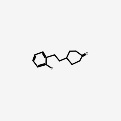 O=C1CCC(CCc2ccccc2F)CC1